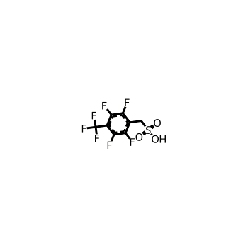 O=S(=O)(O)Cc1c(F)c(F)c(C(F)(F)F)c(F)c1F